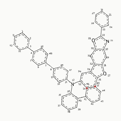 c1ccc(-c2ccc(-c3ccc(N(c4ccc5oc6cc7nc(-c8ccccc8)oc7cc6c5c4)c4ccccc4-c4ccccc4)cc3)cc2)cc1